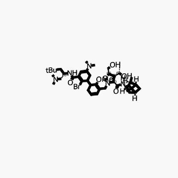 COC1=C(CN2O[C@@H](CO)[C@@H]([C@H](C)O)[C@H]2C(=O)N[C@H]2C[C@H]3C[C@@H]([C@@H]2C)C3(C)C)C=CCC1C1CC(N(C)C)=CC(C(=O)N[C@H](CN(C)C)CC(C)(C)C)=C1Br